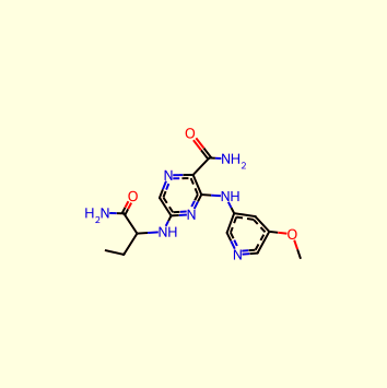 CCC(Nc1cnc(C(N)=O)c(Nc2cncc(OC)c2)n1)C(N)=O